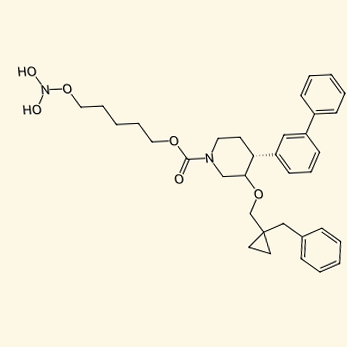 O=C(OCCCCCON(O)O)N1CC[C@H](c2cccc(-c3ccccc3)c2)C(OCC2(Cc3ccccc3)CC2)C1